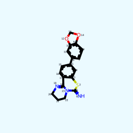 N=C1Sc2cc(-c3ccc4c(c3)OCO4)ccc2C2=NCCCN12